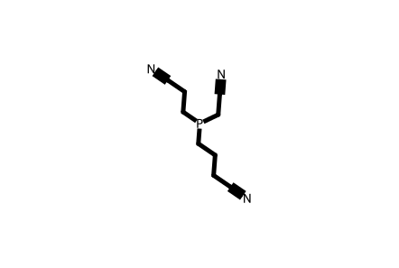 N#CCCCP(CC#N)CCC#N